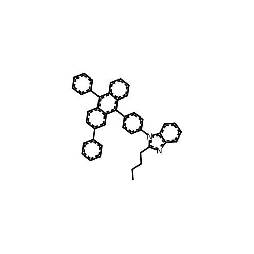 CCCCc1nc2ccccc2n1-c1ccc(-c2c3ccccc3c(-c3ccccc3)c3ccc(-c4ccccc4)cc23)cc1